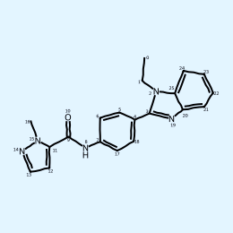 CCn1c(-c2ccc(NC(=O)c3ccnn3C)cc2)nc2ccccc21